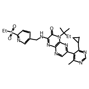 CCC(C)(C)n1c(=O)c(NCc2ccc(S(=O)(=O)CC)nc2)nc2ncc(-c3c(C)ncnc3C3CC3)nc21